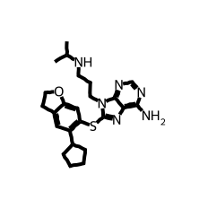 CC(C)NCCCn1c(Sc2cc3c(cc2C2CCCC2)CCO3)nc2c(N)ncnc21